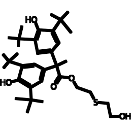 CC(C)(C)c1cc(C(C)(C(=O)OCCSCCO)c2cc(C(C)(C)C)c(O)c(C(C)(C)C)c2)cc(C(C)(C)C)c1O